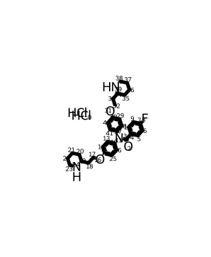 Cl.Cl.O=C(c1ccc(F)cc1)N(c1ccc(OCCC2CCCCN2)cc1)c1ccc(OCCC2CCCCN2)cc1